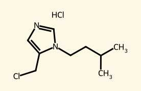 CC(C)CCn1cncc1CCl.Cl